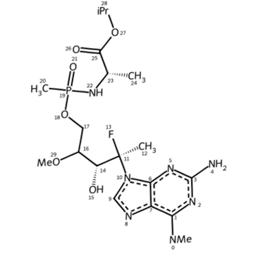 CNc1nc(N)nc2c1ncn2[C@](C)(F)[C@H](O)C(COP(C)(=O)N[C@@H](C)C(=O)OC(C)C)OC